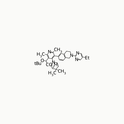 CCc1cnc(N2CCc3cc(-c4c(C)nc(C)c([C@H](OC(C)(C)C)C(=O)O)c4N4CCC(C)(C)CC4)ccc3C2)nc1